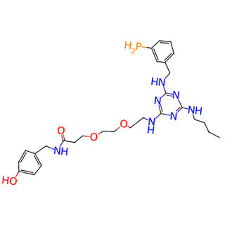 CCCCNc1nc(NCCOCCOCCC(=O)NCc2ccc(O)cc2)nc(NCc2cccc(P)c2)n1